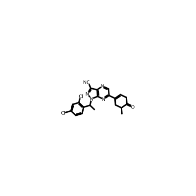 CC1CC(c2cnc3c(C#N)nn(C(C)c4ccc(Cl)cc4Cl)c3n2)=CCC1=O